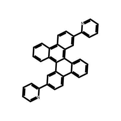 c1ccc(-c2ccc3c4ccccc4c4c5cc(-c6ccccn6)ccc5c5ccccc5c4c3c2)nc1